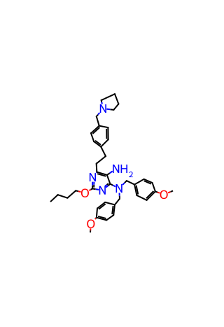 CCCCOc1nc(CCc2ccc(CN3CCCC3)cc2)c(N)c(N(Cc2ccc(OC)cc2)Cc2ccc(OC)cc2)n1